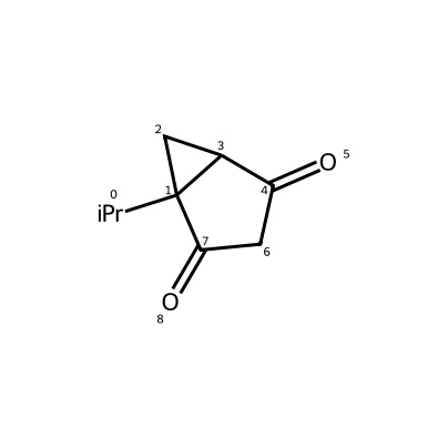 CC(C)C12CC1C(=O)CC2=O